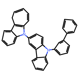 C1=CCc2c(n(-c3ccc4c(c3)c3ccccc3n4-c3cccc(-c4ccccc4)c3)c3ccccc23)C=C1